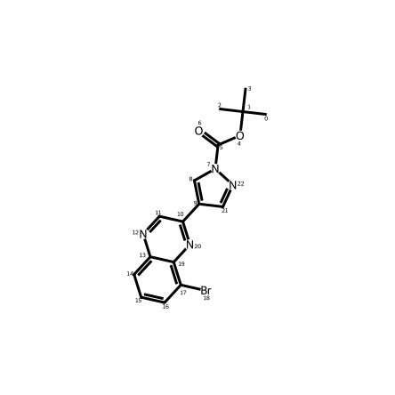 CC(C)(C)OC(=O)n1cc(-c2cnc3cccc(Br)c3n2)cn1